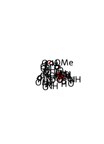 COc1ccc(C[C@H](NC(=O)[C@@H](C)NC(=O)[C@@H]2CNC(=O)C2)C(=O)N[C@@H](CC2CCCC2c2cc(C[C@H](NC(=O)[C@@H](C)NC(=O)[C@H]3CNC(=O)C3)C(=O)N[C@@H](CC3CCCC3)C(=O)[C@@]3(C)CO3)ccc2OC)C(=O)[C@@]2(C)CO2)cc1